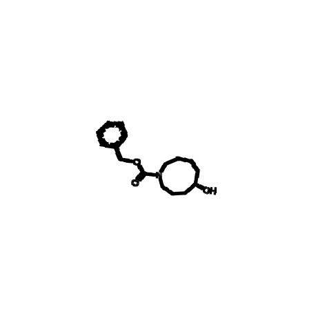 O=C(OCc1ccccc1)N1CCCCC(O)CCC1